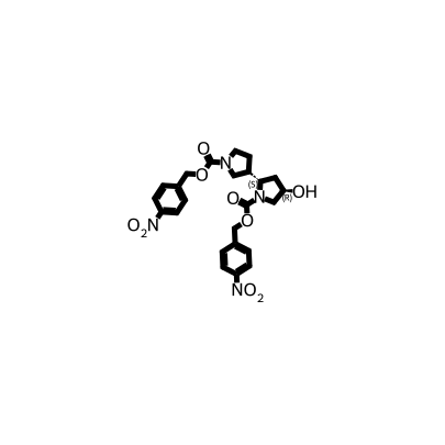 O=C(OCc1ccc([N+](=O)[O-])cc1)N1CCC([C@@H]2C[C@@H](O)CN2C(=O)OCc2ccc([N+](=O)[O-])cc2)C1